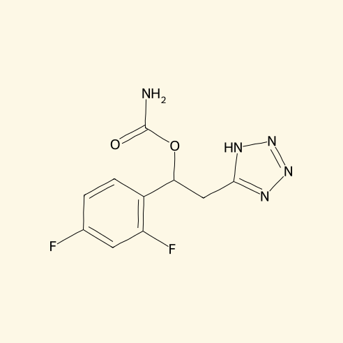 NC(=O)OC(Cc1nnn[nH]1)c1ccc(F)cc1F